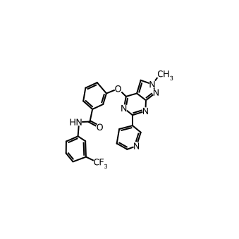 Cn1cc2c(Oc3cccc(C(=O)Nc4cccc(C(F)(F)F)c4)c3)nc(-c3cccnc3)nc2n1